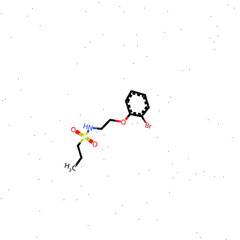 CCCS(=O)(=O)NCCOc1ccccc1Br